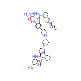 CN1CCN([C@@H]2CCCN(C3CNC(C(N)=O)C(Nc4ccc(C5CCN(CC6CCN(C7CCC(C(=O)N[C@H]8CCC(O)NC8=O)N(C8CCCCC8)C7)CC6)CC5)cc4)N3)C2)C1=O